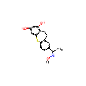 CCO/N=C(/C)c1ccc2c(c1)CCc1c(O)cc(O)cc1S2